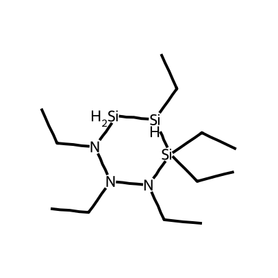 CCN1[SiH2][SiH](CC)[Si](CC)(CC)N(CC)N1CC